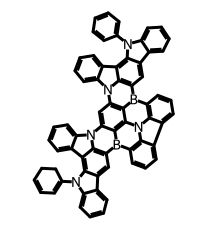 C1=CCCC(n2c3ccccc3c3cc4c5c(c6ccccc6n5-c5cc6c7c8c5B4c4cccc5c9cccc(c9n-8c45)B7c4cc5c7ccccc7n(-c7ccccc7)c5c5c7ccccc7n-6c45)c32)=C1